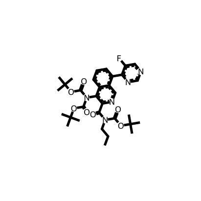 CCCN(C(=O)OC(C)(C)C)C(=O)c1ncc2c(-c3ncncc3F)cccc2c1N(C(=O)OC(C)(C)C)C(=O)OC(C)(C)C